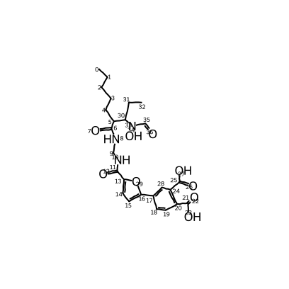 CCCCCC(C(=O)NCNC(=O)c1ccc(-c2ccc(C(=O)O)c(C(=O)O)c2)o1)C(CC)N(O)C=O